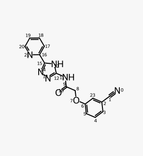 N#Cc1cccc(OCC(=O)Nc2nnc(-c3ccccn3)[nH]2)c1